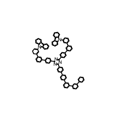 C1=C(c2cccc(-c3ccc(-c4nc(-c5ccc(-c6ccc(-c7cccc(-c8cccc(-c9ccccc9)c8)c7)cc6)cc5)nc(-c5ccc(-c6cccc(-c7cccc(-n8c9ccccc9c9ccccc98)c7)c6)cc5)n4)cc3)c2)CCC=C1n1c2ccccc2c2ccccc21